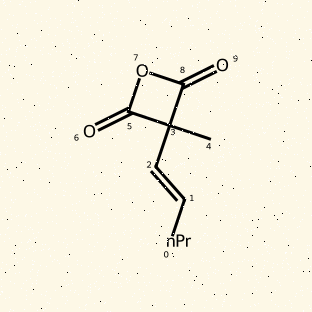 CCCC=CC1(C)C(=O)OC1=O